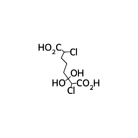 O=C(O)C(Cl)CCCC(O)(O)C(Cl)C(=O)O